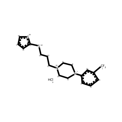 Cl.FC(F)(F)c1cccc(N2CCN(CCCSc3cccs3)CC2)c1